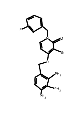 O=c1c(Br)c(OCc2ccc(P)c(P)c2P)ccn1Cc1cccc(F)c1